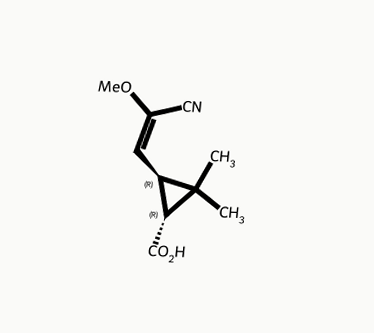 COC(C#N)=C[C@@H]1[C@@H](C(=O)O)C1(C)C